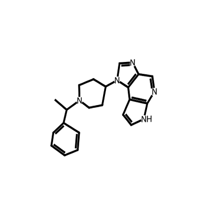 CC(c1ccccc1)N1CCC(n2cnc3cnc4[nH]ccc4c32)CC1